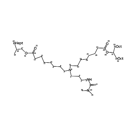 C=C(NCCCN(CCCCCCCC(=O)OCC(C)CCCCCCC)CCCCCCCC(=O)OC(CCCCCCCC)CCCCCCCC)N(C)C